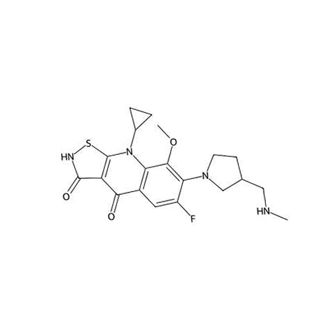 CNCC1CCN(c2c(F)cc3c(=O)c4c(=O)[nH]sc4n(C4CC4)c3c2OC)C1